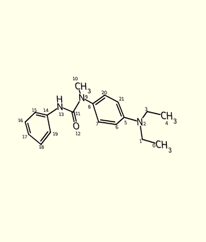 CCN(CC)c1ccc(N(C)C(=O)Nc2ccccc2)cc1